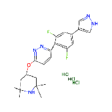 CC1(C)CC(Oc2ccc(-c3c(F)cc(-c4cn[nH]c4)cc3F)nn2)CC(C)(C)N1.Cl.Cl.Cl